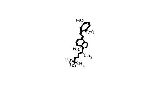 C=C1CC[C@@H](O)C/C1=C/C=C1\CCC[C@@]2(C)C1CC[C@H]2[C@H](C)CCCC(C)(C)O